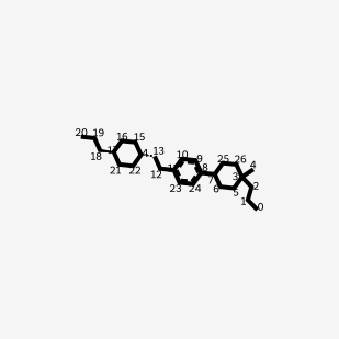 CCCC1(C)CCC(c2ccc(CC[C@H]3CC[C@H](CCC)CC3)cc2)CC1